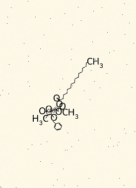 CCCCCCCCCCCCCCCC(=O)OC[C@H](OC(C)=O)[C@H]1OC(=O)C(C)=C1OCc1ccccc1